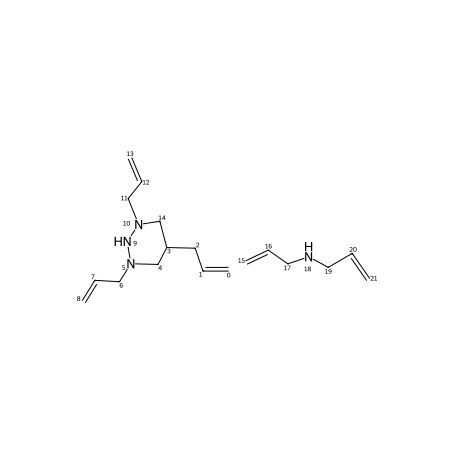 C=CCC1CN(CC=C)NN(CC=C)C1.C=CCNCC=C